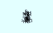 [2H]c1nc(N([2H])C2([2H])CCN(C([2H])c3c([2H])cc(F)c(C#N)c3[2H])CC2)c2c([2H])c(Cl)sc2n1